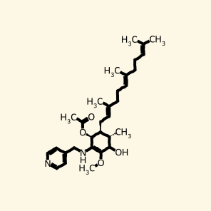 COC1=C(NCc2ccncc2)[C@@H](OC(C)=O)[C@@H](C/C=C(\C)CC/C=C(\C)CCC=C(C)C)[C@H](C)C1O